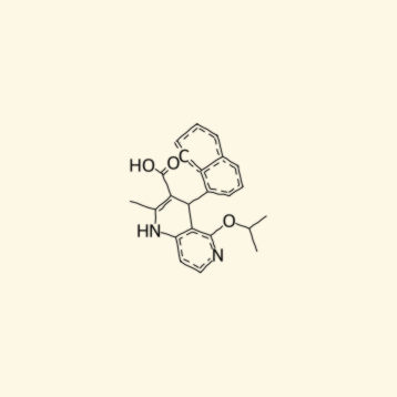 CC1=C(C(=O)O)C(c2cccc3ccccc23)c2c(ccnc2OC(C)C)N1